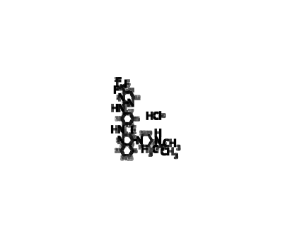 CC(C)(C)NC1CCN(c2c(F)c(Nc3cccc(Nc4nccc(C(F)(F)F)n4)c3)nc3ccccc23)CC1.Cl